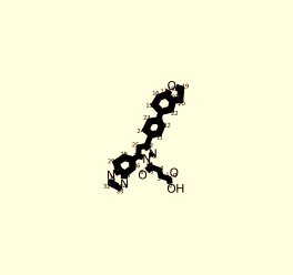 O=C(O)CCC(=O)N1N=C(c2ccc(-c3ccc4occc4c3)cc2)CC1c1ccc2nccnc2c1